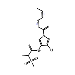 C=C(/C=N\C=C/C)n1cc(NC(=O)C(C)S(C)(=O)=O)c(Cl)n1